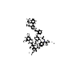 CO/C=C(/C(=O)OC)c1ccccc1Oc1cc(Oc2ccccc2C#N)ncn1.CON(C(=O)c1cn(C)nc1C(F)F)C(C)Cc1c(Cl)cc(Cl)cc1Cl.N#Cc1c[nH]cc1-c1cccc2c1OC(F)(F)O2